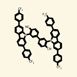 N#Cc1ccc(-c2ccc(C#N)c(-n3c4cc(-c5ccc(C(F)(F)F)cc5)ccc4c4ccc(-c5ccc(C(F)(F)F)cc5)cc43)c2)cc1-n1c2cc(-c3ccc(C(F)(F)F)cc3)ccc2c2ccc(-c3ccc(C(F)(F)F)cc3)cc21